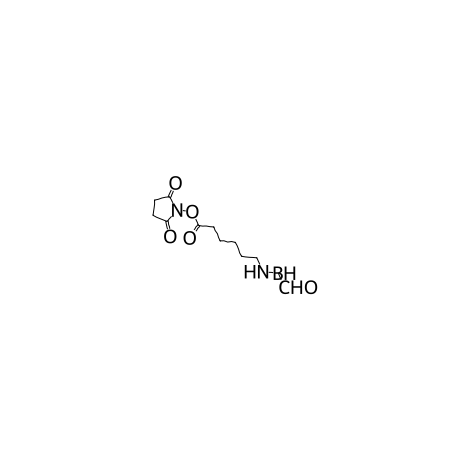 O=CBNCCCCCC(=O)ON1C(=O)CCC1=O